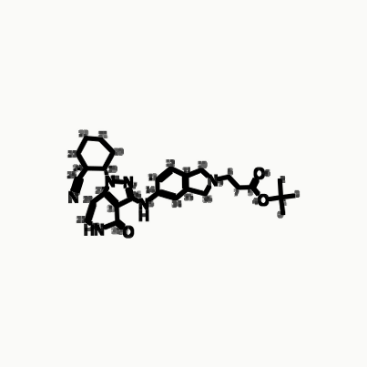 CC(C)(C)OC(=O)CCN1Cc2ccc(Nc3nn([C@H]4CCCCC4C#N)c4cc[nH]c(=O)c34)cc2C1